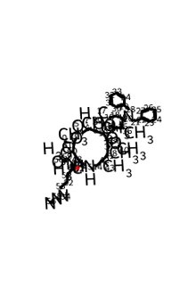 CC[C@H]1OC(=O)[C@H](C)C(=O)[C@H](C)[C@@H](O[C@@H]2OC(C)CC(N(Cc3ccccc3)Cc3ccccc3)C2C)[C@](C)(OC)C[C@@H](C)CN[C@H](C)[C@H]2N(CCCCN=[N+]=[N-])C(=O)O[C@]12C